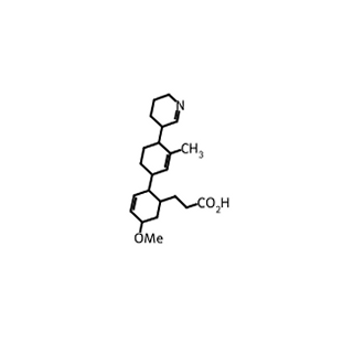 COC1C=CC(C2C=C(C)C(C3C=NCCC3)CC2)C(CCC(=O)O)C1